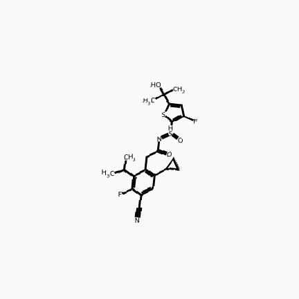 CC(C)c1c(F)c(C#N)cc(C2CC2)c1CC(=O)N=[SH](=O)c1sc(C(C)(C)O)cc1F